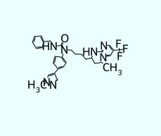 CCCC(CCCCN(C(=O)NCc1ccccc1)c1ccc(-c2cnn(C)c2)cc1)Nc1ncc(C(F)(F)F)cn1